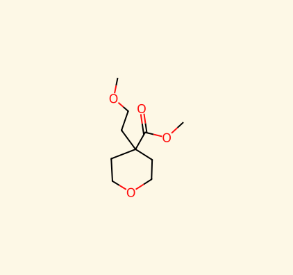 COCCC1(C(=O)OC)CCOCC1